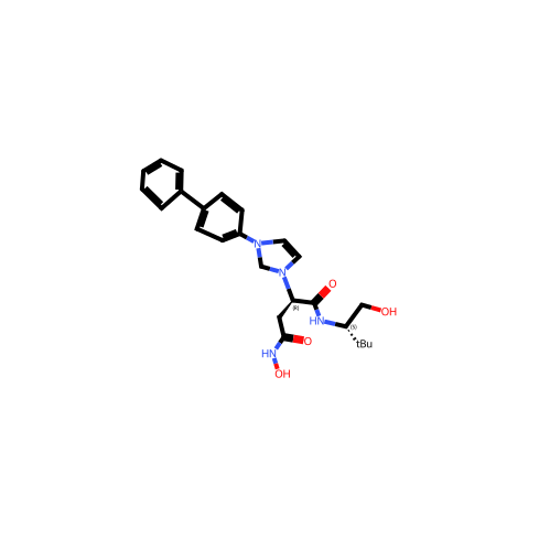 CC(C)(C)[C@@H](CO)NC(=O)[C@@H](CC(=O)NO)N1C=CN(c2ccc(-c3ccccc3)cc2)C1